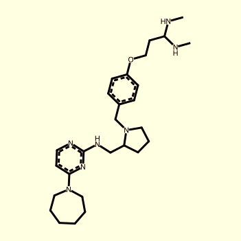 CNC(CCOc1ccc(CN2CCCC2CNc2nccc(N3CCCCCC3)n2)cc1)NC